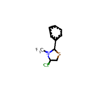 FC(F)(F)N1C(Cl)CSC1c1ccccc1